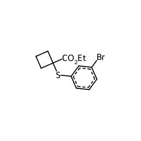 CCOC(=O)C1(Sc2cccc(Br)c2)CCC1